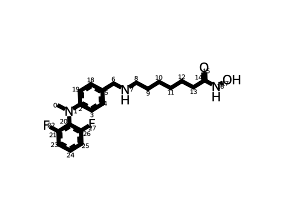 CN(c1ccc(CNCCCCCCC(=O)NO)cc1)c1c(F)cccc1F